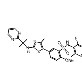 COc1ccc(-c2sc(NC(C)(C)c3ncccn3)nc2C)cc1S(=O)(=O)Nc1c(C)cccc1F